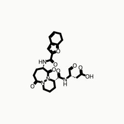 O=C[C@H](CC(=O)O)NC(=O)[C@@H]1CCCN2C(=O)CC[C@H](NC(=O)c3cc4c(o3)CCC=C4)C(=O)N12